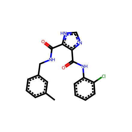 Cc1cccc(CNC(=O)c2[nH]cnc2C(=O)Nc2ccccc2Cl)c1